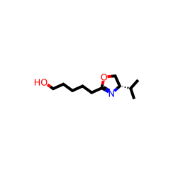 CC(C)[C@H]1COC(CCCCCO)=N1